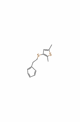 Cc1cc(SCCc2ccccc2)c(C)s1